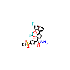 CCS(=O)(=O)c1ccc(C(C(N)=O)c2ccc(-c3ccccc3)c(Oc3cccc(F)c3)c2OC(F)F)cc1